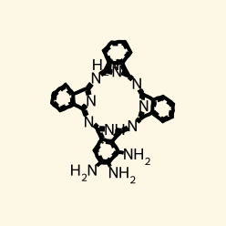 Nc1cc2c3nc4nc(nc5c6ccccc6c(nc6nc(nc([nH]3)c2c(N)c1N)-c1ccccc1-6)n5N)-c1ccccc1-4